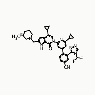 C[C@H]1CCCN(Cc2cc3c(C4CC4)cn(-c4cc(-c5ccc(C#N)cc5-c5nncn5C(F)F)cc(C5CC5)n4)c(=O)c3[nH]2)C1